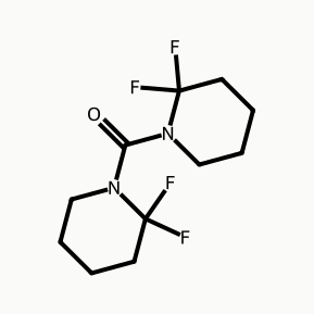 O=C(N1CCCCC1(F)F)N1CCCCC1(F)F